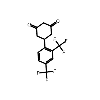 O=C1CC(=O)CC(c2ccc(C(F)(F)F)cc2C(F)(F)F)C1